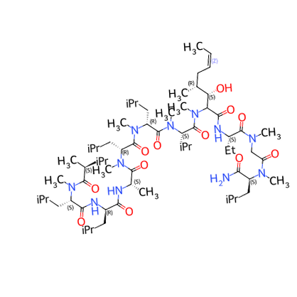 C/C=C\C[C@@H](C)[C@H](O)C(C(=O)N[C@@H](CC)C(=O)N(C)CC(=O)N(C)[C@@H](CC(C)C)C(N)=O)N(C)C(=O)[C@H](C(C)C)N(C)C(=O)[C@@H](CC(C)C)N(C)C(=O)[C@@H](CC(C)C)N(C)C(=O)[C@H](C)NC(=O)[C@@H](CC(C)C)NC(=O)[C@H](CC(C)C)N(C)C(=O)[C@@H](C)C(C)C